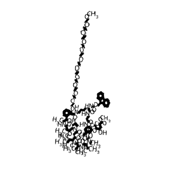 CC[C@H](C)[C@@H]([C@@H](CC(=O)N1CCC[C@H]1[C@H](OC)[C@@H](C)C(=O)N[C@H](C)[C@@H](O)c1ccccc1)OC)N(C)C(=O)[C@@H](NC(=O)[C@H](C(C)C)N(C)C(=O)OCc1ccc(O[C@@H]2OC(C(=O)OC)=C[C@H](O)[C@H]2O)c(NC(=O)CCNC(=O)[C@H](CCCCNC(=O)CCOCCOCCOCCOCCOCCOCCOCCOCCOCCOCCOCCOC)NC(=O)OCC2c3ccccc3-c3ccccc32)c1)C(C)C